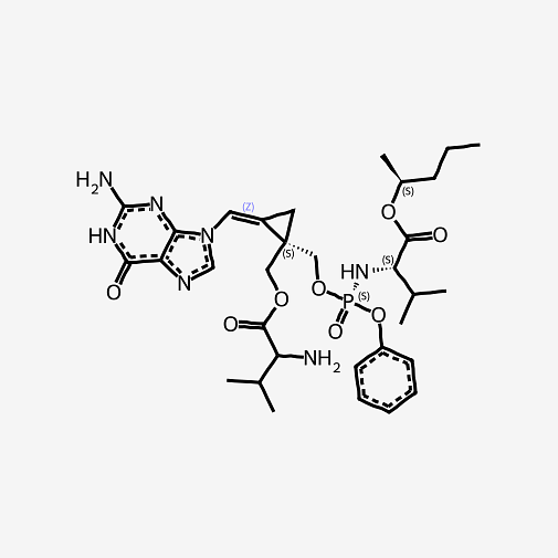 CCC[C@H](C)OC(=O)[C@@H](N[P@](=O)(OC[C@@]1(COC(=O)C(N)C(C)C)C/C1=C/n1cnc2c(=O)[nH]c(N)nc21)Oc1ccccc1)C(C)C